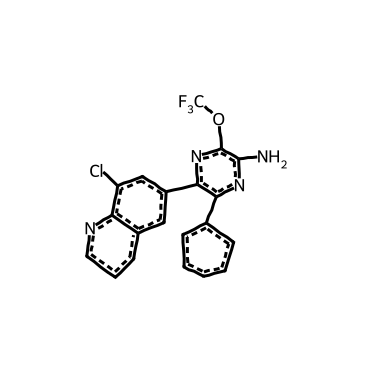 Nc1nc(-c2ccccc2)c(-c2cc(Cl)c3ncccc3c2)nc1OC(F)(F)F